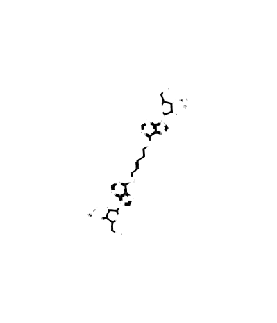 O=[PH](S)OC1C(CO)OC(n2cnc3c(NC/C=C/CCNc4ncnc5c4ncn5[C@@H]4OC(CO)[C@@H](O[PH](=O)S)[C@H]4F)ncnc32)[C@@H]1F